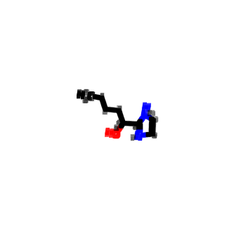 CCCCC(O)c1ncc[nH]1